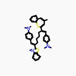 CC1=Cc2ccccc2SC(/C(=C/c2ccc(N(C)C)cc2)CCCC/C(=C\c2ccc(N(C)C)cc2)c2sc3ccccc3[n+]2C)=C1